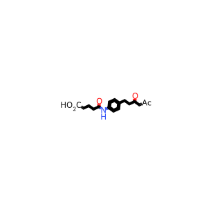 CC(=O)CC(=O)CCc1ccc(NC(=O)CCCC(=O)O)cc1